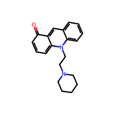 O=c1cccc2n(CCN3CCCCC3)c3ccccc3cc1-2